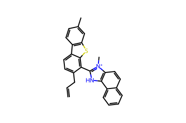 C=CCc1ccc2c(sc3cc(C)ccc32)c1-c1[nH]c2c3ccccc3ccc2[n+]1C